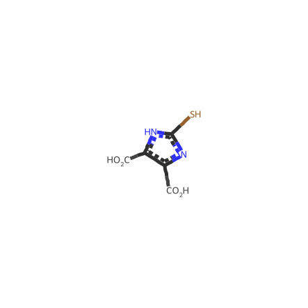 O=C(O)c1nc(S)[nH]c1C(=O)O